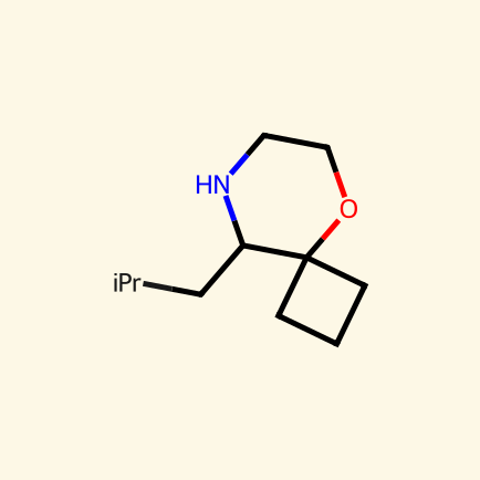 CC(C)CC1NCCOC12CCC2